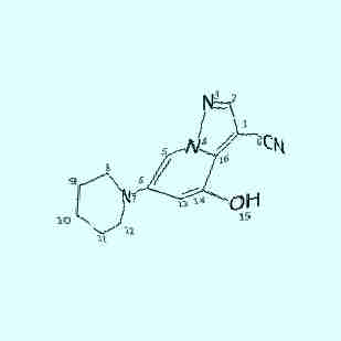 N#Cc1cnn2cc(N3CCCCC3)cc(O)c12